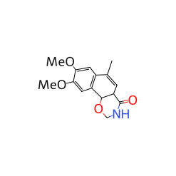 COc1cc2c(cc1OC)C1OCNC(=O)C1C=C2C